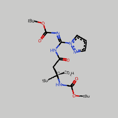 CC(C)(C)OC(=O)N=C(NC(=O)C[C@@](NC(=O)OC(C)(C)C)(C(=O)O)C(C)(C)C)n1cccn1